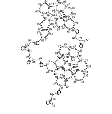 Cc1ccc(C2(c3ccc4cc(OCC5CO5)ccc4c3)c3c(ccc4ccccc34)-c3ccc4ccccc4c32)cc1/C=C\COCC1OC1C1OC1COc1ccc2cc(C3(c4ccc5cc(OCC6CO6)ccc5c4)c4ccccc4-c4ccc5ccccc5c43)ccc2c1